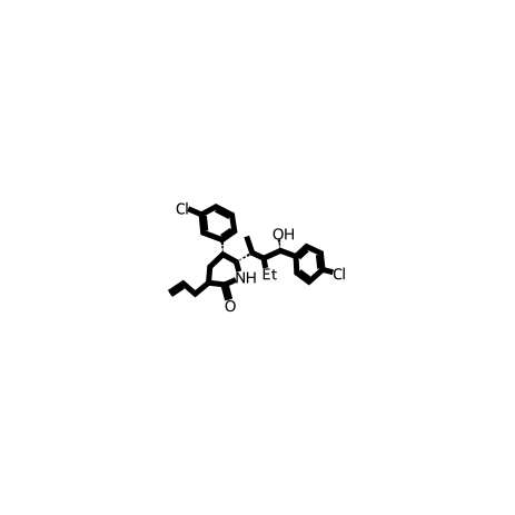 C=CCC1C[C@H](c2cccc(Cl)c2)[C@H](C(C)C(CC)[C@H](O)c2ccc(Cl)cc2)NC1=O